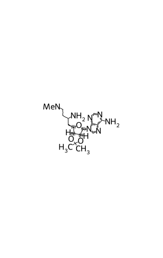 CNCCC(N)C[C@H]1O[C@@H](n2cnc3c(N)ncnc32)[C@@H]2OC(C)(C)O[C@@H]21